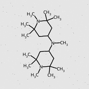 CN(C1CC(C)(C)N(C)C(C)(C)C1)C1CC(C)(C)N(C)C(C)(C)C1